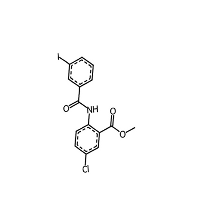 COC(=O)c1cc(Cl)ccc1NC(=O)c1cccc(I)c1